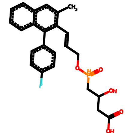 Cc1cc2ccccc2c(-c2ccc(F)cc2)c1C=CCO[PH](=O)CC(O)CC(=O)O